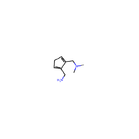 CN(C)CC1=CCC=C1CN